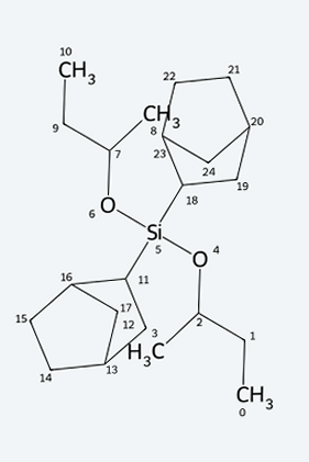 CCC(C)O[Si](OC(C)CC)(C1CC2CCC1C2)C1CC2CCC1C2